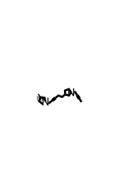 CC#CCN1CCC(CCC#CCN2CC[C@@H](C)C2)C1